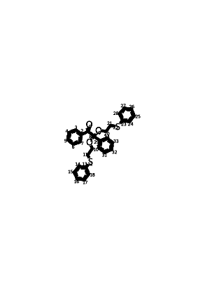 O=C(c1ccccc1)C(OCCSc1ccccc1)(OCCSc1ccccc1)c1ccccc1